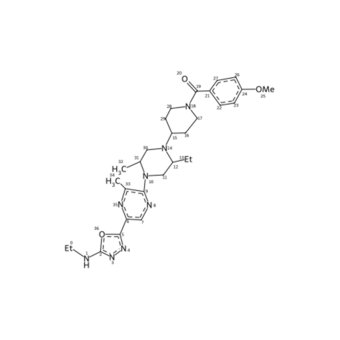 CCNc1nnc(-c2cnc(N3CC(CC)N(C4CCN(C(=O)c5ccc(OC)cc5)CC4)CC3C)c(C)n2)o1